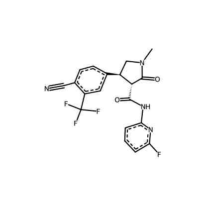 CN1C[C@H](c2ccc(C#N)c(C(F)(F)F)c2)[C@@H](C(=O)Nc2cccc(F)n2)C1=O